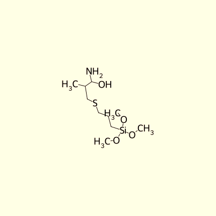 CO[Si](CCCSCC(C)C(N)O)(OC)OC